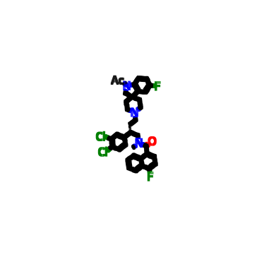 CC(=O)N1CC2(CCN(CC[C@H](CN(C)C(=O)c3ccc(F)c4ccccc34)c3ccc(Cl)c(Cl)c3)CC2)c2cc(F)ccc21